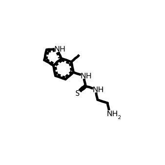 Cc1c(NC(=S)NCCN)ccc2cc[nH]c12